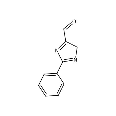 O=CC1=NC(c2ccccc2)=NC1